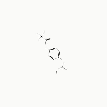 CCOC(CC)Oc1ccc(OC(=O)C(C)(C)CC)cc1